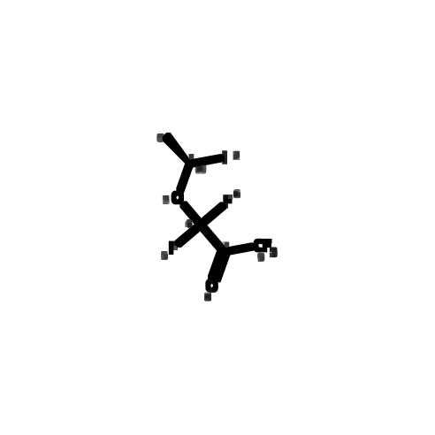 C[C@@H](I)OC(F)(F)C(=O)C(F)(F)F